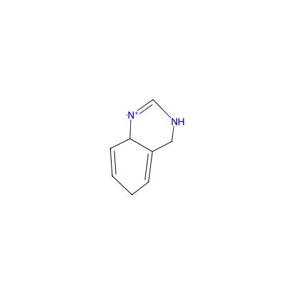 C1=CC2[N+]=CNCC2=CC1